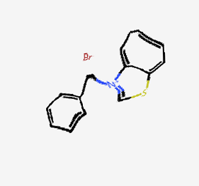 [Br-].c1ccc(C[n+]2csc3ccccc32)cc1